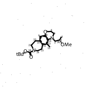 CO[C@H](C)CN1CCOc2cc3c(c(C)c21)CCN(C(=O)OC(C)(C)C)CC3